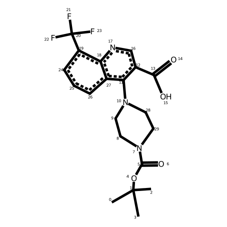 CC(C)(C)OC(=O)N1CCN(c2c(C(=O)O)cnc3c(C(F)(F)F)cccc23)CC1